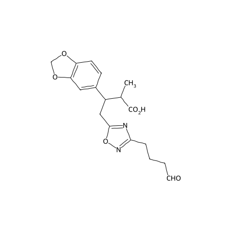 CC(C(=O)O)C(Cc1nc(CCCC=O)no1)c1ccc2c(c1)OCO2